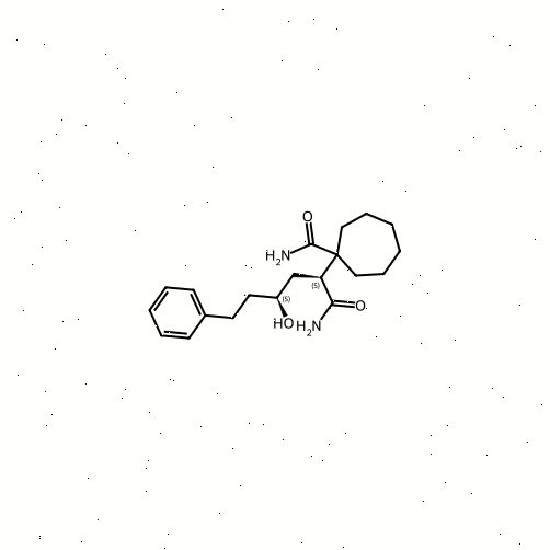 NC(=O)[C@@H](C[C@@H](O)[CH]Cc1ccccc1)C1(C(N)=O)CCCCCC1